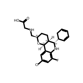 O=C(O)CNC[C@H]1CC[C@@H]2[C@H](O1)c1cc(Cl)cc(F)c1N[C@H]2C1C=CC=CC1